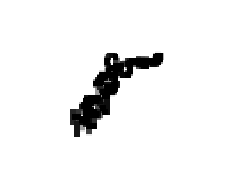 CCC#CCOC(=O)N1CCN(c2ccc(C(F)(F)F)cn2)CC1